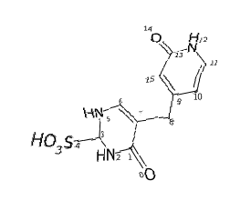 O=C1NC(S(=O)(=O)O)NC=C1Cc1cc[nH]c(=O)c1